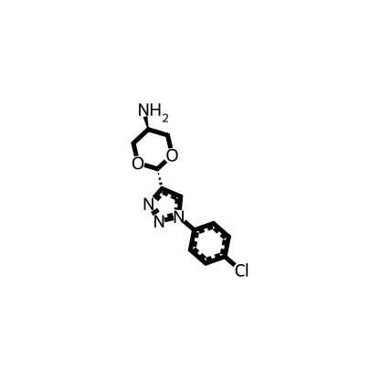 N[C@H]1CO[C@H](c2cn(-c3ccc(Cl)cc3)nn2)OC1